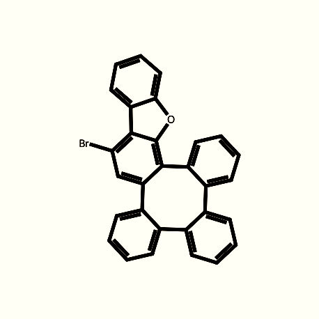 Brc1cc2c(c3oc4ccccc4c13)-c1ccccc1-c1ccccc1-c1ccccc1-2